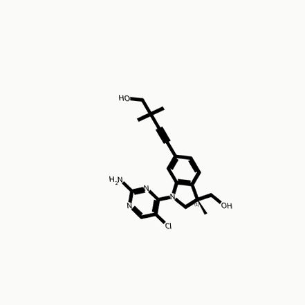 CC(C)(C#Cc1ccc2c(c1)N(c1nc(N)ncc1Cl)C[C@@]2(C)CO)CO